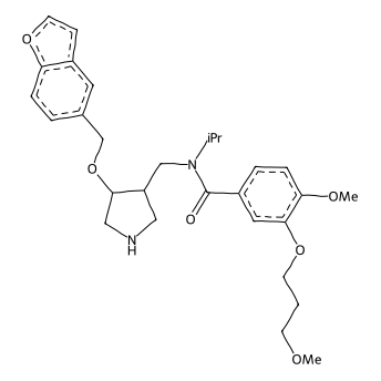 COCCCOc1cc(C(=O)N(CC2CNCC2OCc2ccc3occc3c2)C(C)C)ccc1OC